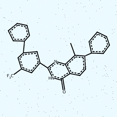 Cc1c(-c2ccccc2)ccc2c(=O)[nH]c(-c3cc(-c4ccccc4)cc(C(F)(F)F)c3)nc12